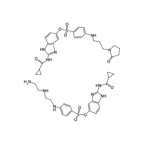 NCCNCCNc1ccc(S(=O)(=O)Oc2ccc3[nH]c(NC(=O)C4CC4)nc3c2)cc1.O=C(Nc1nc2cc(OS(=O)(=O)c3ccc(NCCCN4CCCC4=O)cc3)ccc2[nH]1)C1CC1